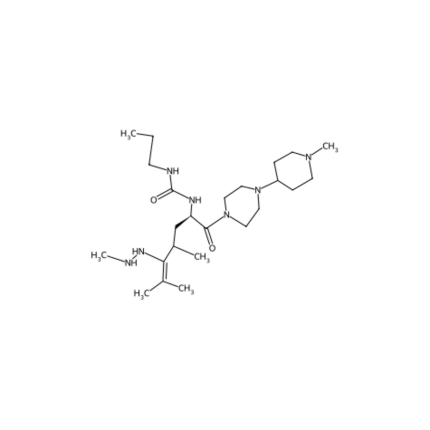 CCCNC(=O)N[C@H](CC(C)C(NNC)=C(C)C)C(=O)N1CCN(C2CCN(C)CC2)CC1